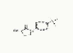 CC(C)(C)c1ccc([C@@H]2CCC(=O)N2)cc1